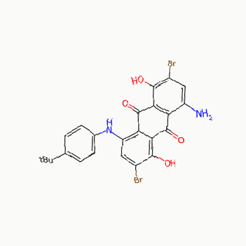 CC(C)(C)c1ccc(Nc2cc(Br)c(O)c3c2C(=O)c2c(O)c(Br)cc(N)c2C3=O)cc1